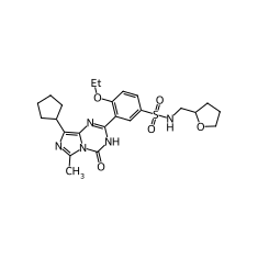 CCOc1ccc(S(=O)(=O)NCC2CCCO2)cc1-c1nc2c(C3CCCC3)nc(C)n2c(=O)[nH]1